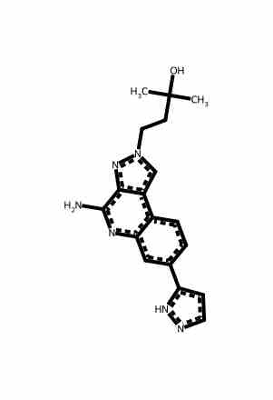 CC(C)(O)CCn1cc2c(n1)c(N)nc1cc(-c3ccn[nH]3)ccc12